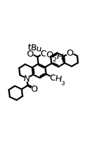 Cc1cc2c(c(C(OC(C)(C)C)C(=O)O)c1-c1ccc3c(c1)CCCO3)CCCN2C(=O)C1CCCCC1